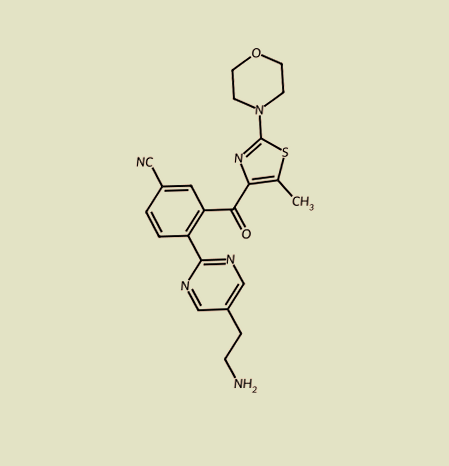 Cc1sc(N2CCOCC2)nc1C(=O)c1cc(C#N)ccc1-c1ncc(CCN)cn1